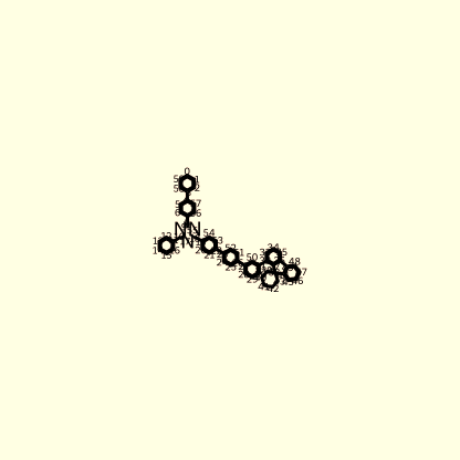 c1ccc(-c2ccc(-c3nc(-c4ccccc4)nc(-c4ccc(-c5ccc(-c6cccc(-c7cccc8c7C7(CCCCC7)c7ccccc7-8)c6)cc5)cc4)n3)cc2)cc1